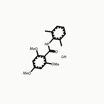 COc1cc(OC)c(C(=O)Pc2c(C)cccc2C)c(OC)c1.[LiH]